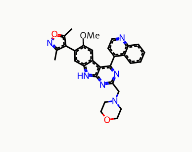 COc1cc2c(cc1-c1c(C)noc1C)[nH]c1nc(CN3CCOCC3)nc(-c3ccnc4ccccc34)c12